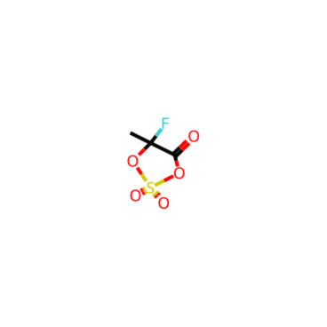 CC1(F)OS(=O)(=O)OC1=O